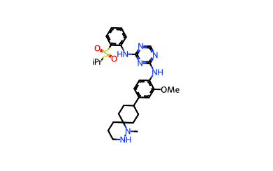 COc1cc(C2CCC3(CCCNN3C)CC2)ccc1Nc1ncnc(Nc2ccccc2S(=O)(=O)C(C)C)n1